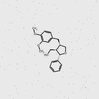 COc1ccc(C[C@H]2CO[C@H](c3ccccc3)[C@H]2CO)cc1OC